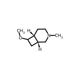 COC1C[C@H]2CN(C)CC[C@@H]12